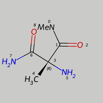 CNC(=O)[C@](C)(N)C(N)=O